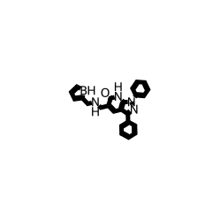 O=c1[nH]c2c(cc1CNCC1=CC=CB1)c(-c1ccccc1)nn2-c1ccccc1